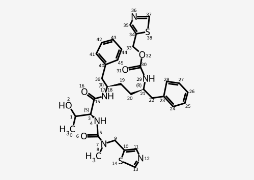 CC(O)[C@H](NC(=O)N(C)Cc1cncs1)C(=O)N[C@H](CC[C@H](Cc1ccccc1)NC(=O)OCc1cncs1)Cc1ccccc1